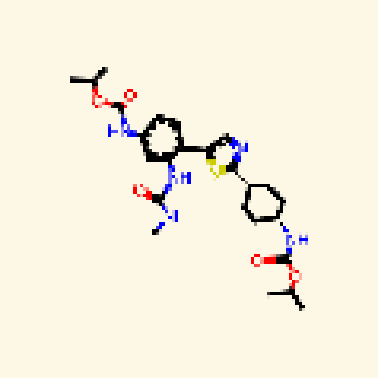 CNC(=O)Nc1cc(NC(=O)OC(C)C)ccc1-c1cnc([C@H]2CC[C@H](NC(=O)OC(C)C)CC2)s1